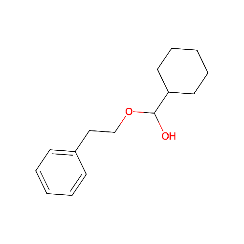 OC(OCCc1ccccc1)C1CCCCC1